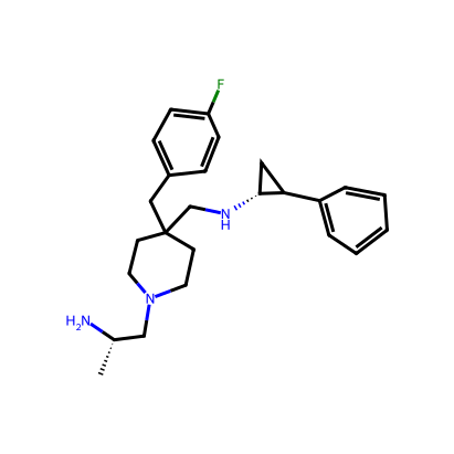 C[C@H](N)CN1CCC(CN[C@@H]2CC2c2ccccc2)(Cc2ccc(F)cc2)CC1